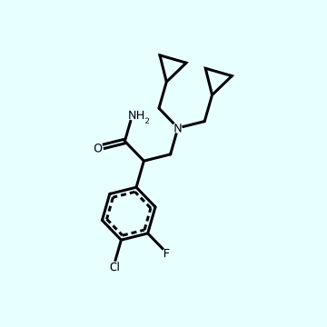 NC(=O)C(CN(CC1CC1)CC1CC1)c1ccc(Cl)c(F)c1